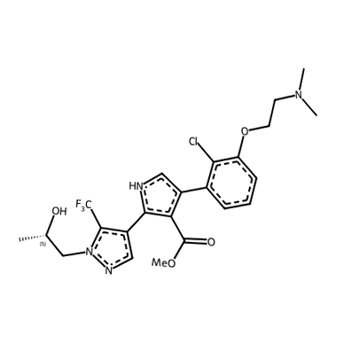 COC(=O)c1c(-c2cccc(OCCN(C)C)c2Cl)c[nH]c1-c1cnn(C[C@H](C)O)c1C(F)(F)F